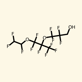 OCC(F)(F)C(F)(F)OC(F)(C(F)(F)F)C(F)(F)OC(F)C(F)F